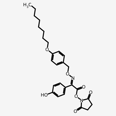 CCCCCCCCOc1ccc(CO/N=C(/C(=O)ON2C(=O)CCC2=O)c2ccc(O)cc2)cc1